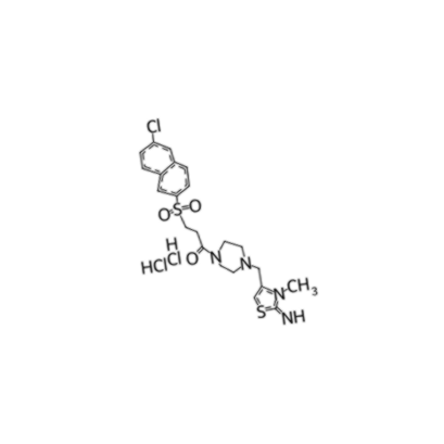 Cl.Cl.Cn1c(CN2CCN(C(=O)CCS(=O)(=O)c3ccc4cc(Cl)ccc4c3)CC2)csc1=N